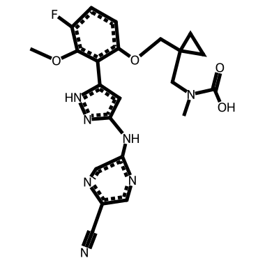 COc1c(F)ccc(OCC2(CN(C)C(=O)O)CC2)c1-c1cc(Nc2cnc(C#N)cn2)n[nH]1